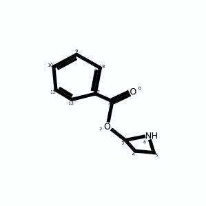 O=C(OC1CCN1)c1ccccc1